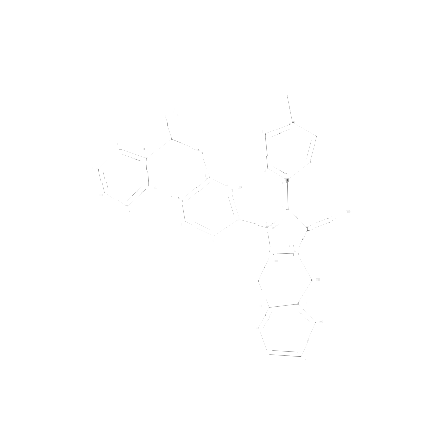 CC(Nc1nccc(-c2c(-c3ccc(F)cc3)c(=O)n3n2Cc2ccccc2C3)n1)c1ccccc1